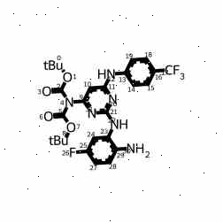 CC(C)(C)OC(=O)N(C(=O)OC(C)(C)C)c1cc(Nc2ccc(C(F)(F)F)cc2)nc(Nc2cc(F)ccc2N)n1